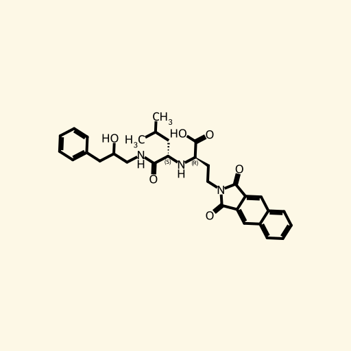 CC(C)C[C@H](N[C@H](CCN1C(=O)c2cc3ccccc3cc2C1=O)C(=O)O)C(=O)NCC(O)Cc1ccccc1